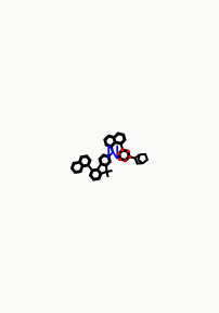 CC1(C)c2cc(N(c3ccc(C4CC5CCC4C5)cc3)c3cccc4cccc(C5CCCCC5)c34)ccc2-c2c(-c3cccc4ccccc34)cccc21